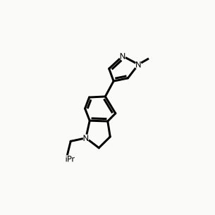 CC(C)CN1CCc2cc(-c3cnn(C)c3)ccc21